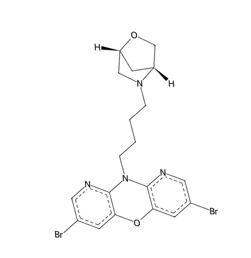 Brc1cnc2c(c1)Oc1cc(Br)cnc1N2CCCCN1C[C@H]2C[C@@H]1CO2